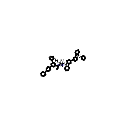 C=C/C(=C\N=C(/N)n1c2ccccc2c2cc(-c3ccc4c(c3)c3ccccc3n4-c3ccccc3)ccc21)c1cc(-c2ccccc2)cc(-c2ccc(-c3ccccc3)cc2)c1